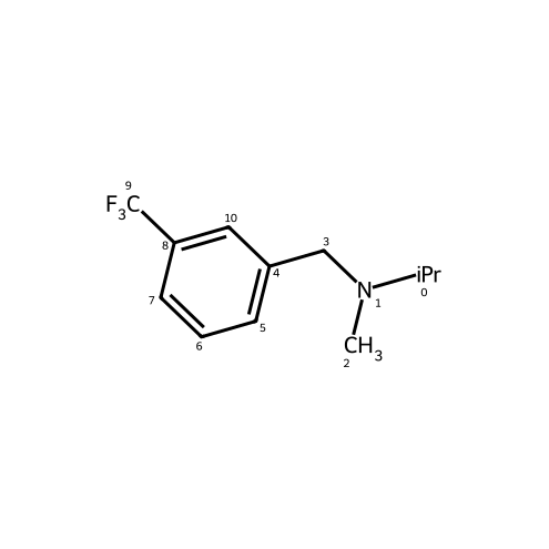 CC(C)N(C)Cc1cccc(C(F)(F)F)c1